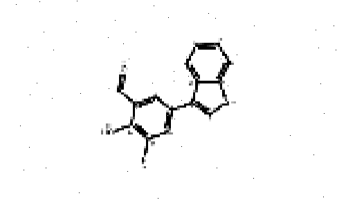 O=Cc1cc(-c2csc3ccccc23)cc(F)c1O